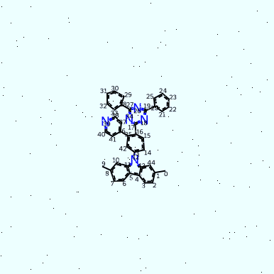 Cc1ccc2c3ccc(C)cc3n(-c3ccc(-c4nc(-c5ccccc5)nc(-c5ccccc5)n4)c(-c4ccncc4)c3)c2c1